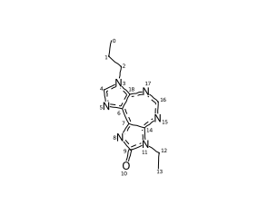 CCCn1cnc2c3nc(=O)n(CC)c-3ncnc21